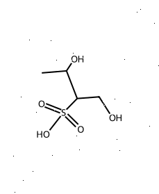 CC(O)C(CO)S(=O)(=O)O